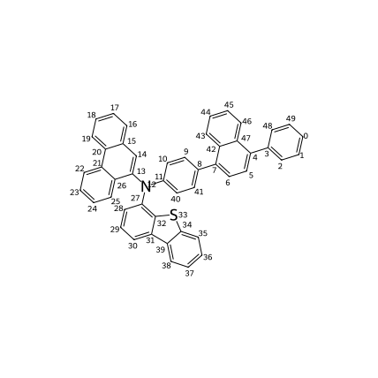 c1ccc(-c2ccc(-c3ccc(N(c4cc5ccccc5c5ccccc45)c4cccc5c4sc4ccccc45)cc3)c3ccccc23)cc1